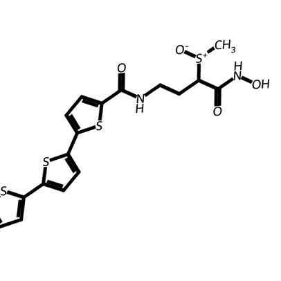 C[S+]([O-])C(CCNC(=O)c1ccc(-c2ccc(-c3cccs3)s2)s1)C(=O)NO